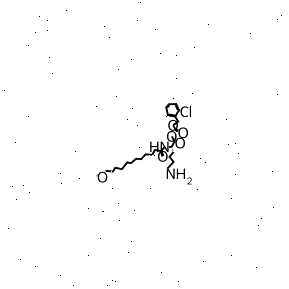 COCCCCCCCCCCCC(=O)N[C@@H](CCCCN)C(=O)OC(=O)OCc1ccccc1Cl